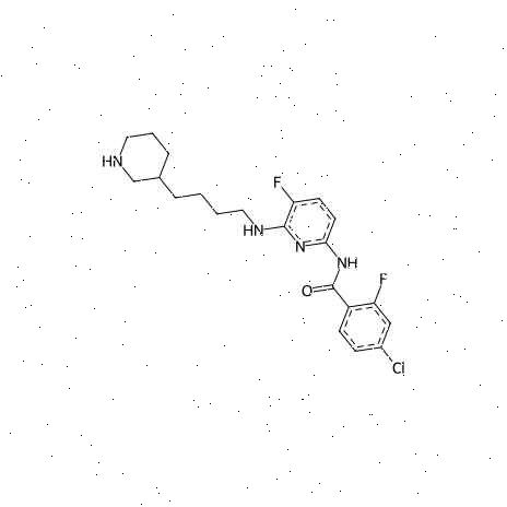 O=C(Nc1ccc(F)c(NCCCCC2CCCNC2)n1)c1ccc(Cl)cc1F